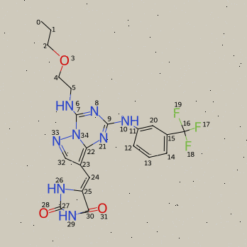 CCCOCCNc1nc(Nc2cccc(C(F)(F)F)c2)nc2c(/C=C3\NC(=O)NC3=O)cnn12